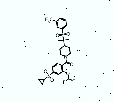 CC(C)(C1CCN(C(=O)c2ccc(S(=O)(=O)C3CC3)cc2OC(F)F)CC1)S(=O)(=O)c1cccc(C(F)(F)F)c1